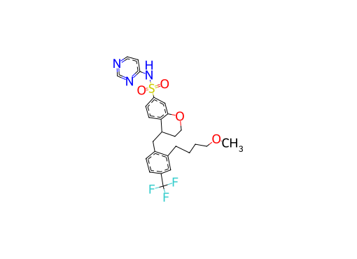 COCCCCc1cc(C(F)(F)F)ccc1CC1CCOc2cc(S(=O)(=O)Nc3ccncn3)ccc21